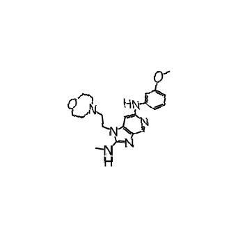 CNc1nc2cnc(Nc3cccc(OC)c3)cc2n1CCN1CCOCC1